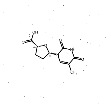 Cc1cn([C@H]2CC[C@@H](C(=O)O)O2)c(=O)[nH]c1=O